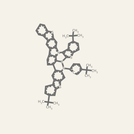 CC(C)(C)c1ccc(N2B3c4sc5ccc(C(C)(C)C)cc5c4-n4c5cc6sc7ccccc7c6cc5c5ccc(c3c54)-c3cc4c(cc32)sc2cc(C(C)(C)C)ccc24)cc1